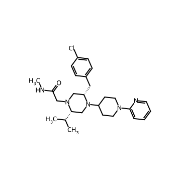 CNC(=O)CN1C[C@H](Cc2ccc(Cl)cc2)N(C2CCN(c3ccccn3)CC2)C[C@@H]1C(C)C